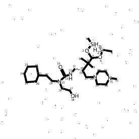 C[SiH2]OC(O[SiH2]C)C(C)(C)[C@@H](CNC(=O)N(CCO)CCC1CCCCC1)CN1CCN(C)CC1